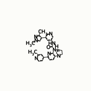 Cc1cc(-c2ccc3c(n2)N(C(=O)Nc2cncc(-c4cn(C)nc4C)c2)[C@H]2CCN3C2)ccn1